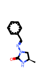 C[C@@H]1CN(/N=C/c2ccccc2)C(=O)N1